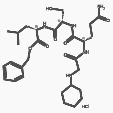 CC(C)C[C@H](NC(=O)[C@H](CO)NC(=O)[C@H](CCC(N)=O)NC(=O)CNC1CCCCC1)C(=O)OCc1ccccc1.Cl